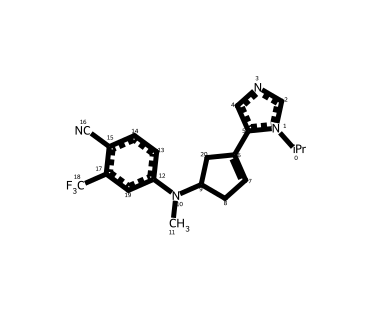 CC(C)n1cncc1C1=CCC(N(C)c2ccc(C#N)c(C(F)(F)F)c2)C1